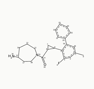 Cc1cc(F)c(C2CC2C(=O)N2CCCC(N)CC2)c(-c2ccccc2)c1